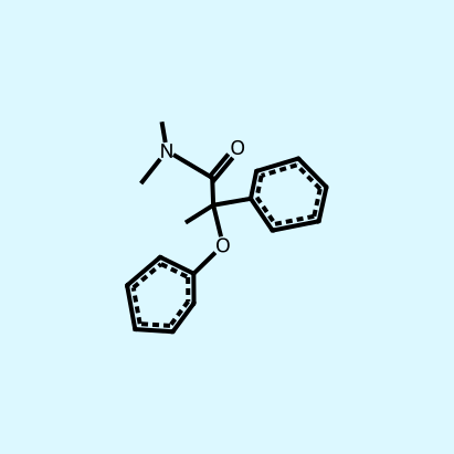 CN(C)C(=O)C(C)(Oc1ccccc1)c1ccccc1